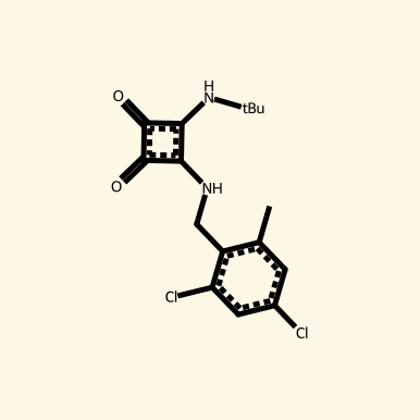 Cc1cc(Cl)cc(Cl)c1CNc1c(NC(C)(C)C)c(=O)c1=O